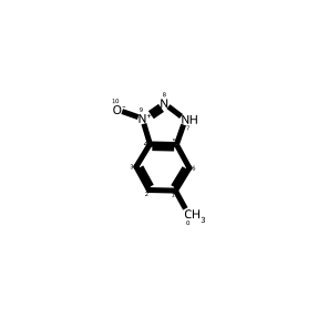 Cc1ccc2c(c1)[nH]n[n+]2[O-]